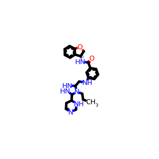 CCCN1C(CNc2cccc(C(=O)N[C@H]3COc4ccccc43)c2)NNC1C1CC=NCN1